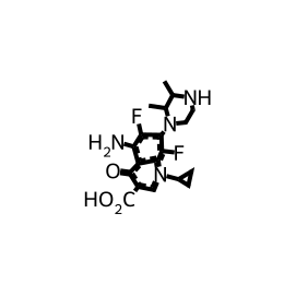 CC1NCCN(c2c(F)c(N)c3c(=O)c(C(=O)O)cn(C4CC4)c3c2F)C1C